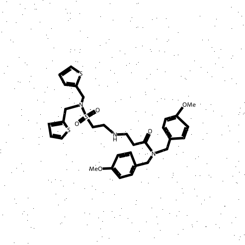 COc1ccc(CN(Cc2ccc(OC)cc2)C(=O)CCNCCS(=O)(=O)N(Cc2cccs2)Cc2cccs2)cc1